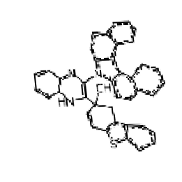 CC1(C2=C(n3c4ccc5ccccc5c4c4c5ccccc5ccc43)N=C3C=CC=CC3N2)C=Cc2sc3ccccc3c2C1